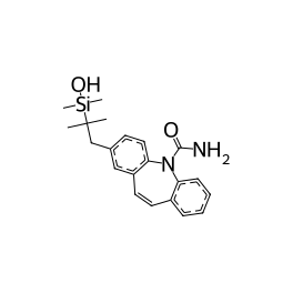 CC(C)(Cc1ccc2c(c1)C=Cc1ccccc1N2C(N)=O)[Si](C)(C)O